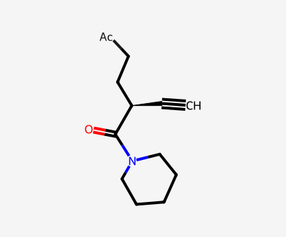 C#C[C@H](CCC(C)=O)C(=O)N1CCCCC1